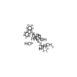 C[C@]12CCC[C@H](C1)N(CCCC(NC(=O)OCC1c3ccccc3-c3ccccc31)C(=O)O)C2.Cl